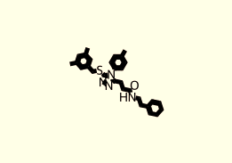 Cc1ccc(-n2c(CCC(=O)NCCC3=CCCC=C3)nnc2SCc2cc(C)cc(C)c2)cc1